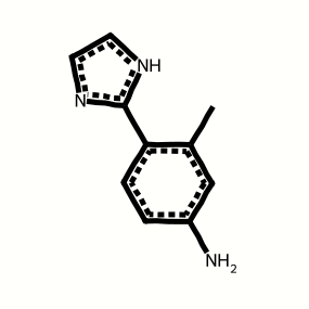 Cc1cc(N)ccc1-c1ncc[nH]1